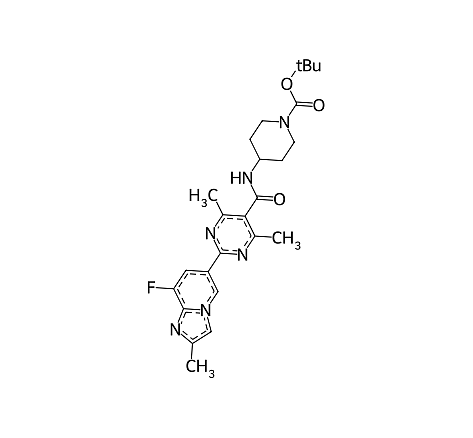 Cc1cn2cc(-c3nc(C)c(C(=O)NC4CCN(C(=O)OC(C)(C)C)CC4)c(C)n3)cc(F)c2n1